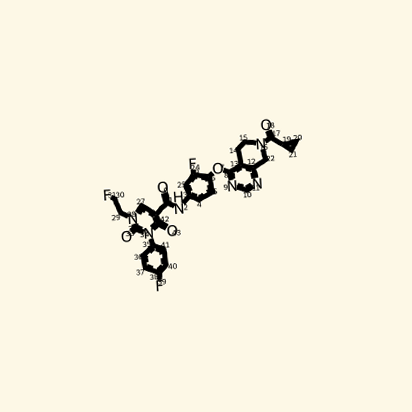 O=C(Nc1ccc(Oc2ncnc3c2CCN(C(=O)C2CC2)C3)c(F)c1)c1cn(CCF)c(=O)n(-c2ccc(F)cc2)c1=O